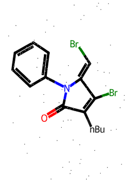 CCCCC1=C(Br)/C(=C/Br)N(c2ccccc2)C1=O